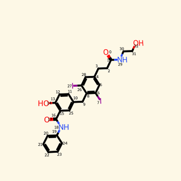 O=C(CCc1cc(I)c(Cc2ccc(O)c(C(=O)Nc3ccccc3)c2)c(I)c1)NCCO